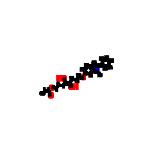 C=CC(=O)OCCCC(O)C(O)CCCOc1ccc2cc(-c3ccccc3)n(C)c2c1